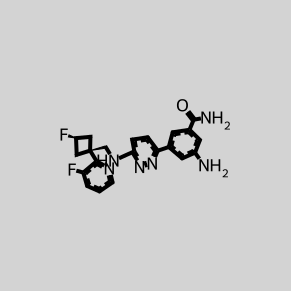 NC(=O)c1cc(N)cc(-c2ccc(NC[C@]3(c4ncccc4F)C[C@H](F)C3)nn2)c1